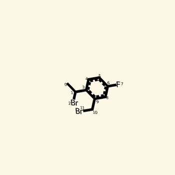 CC(Br)c1ccc(F)cc1CBr